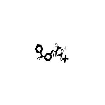 CC(C)(C)OC(=O)N[C@@H](Cc1cccc(C(=O)c2ccccc2)c1)C(=O)O